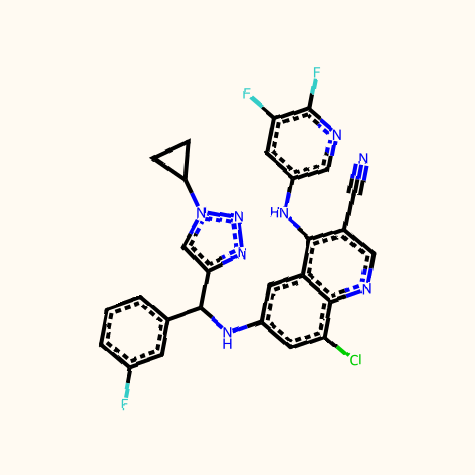 N#Cc1cnc2c(Cl)cc(NC(c3cccc(F)c3)c3cn(C4CC4)nn3)cc2c1Nc1cnc(F)c(F)c1